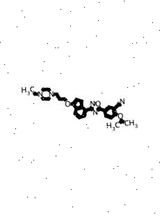 CCN1CCN(CCCOC2=CCc3c2cccc3-c2noc(-c3ccc(OC(C)C)c(C#N)c3)n2)CC1